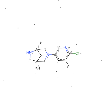 Cc1cc(N2C[C@H]3CN[C@H](C3)C2)cnc1Cl